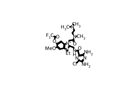 CCn1c(CNC(=O)c2nc(Cl)c(N)nc2N)[n+](CC(=O)N(C)CCN(C)C)c2cc(OC(=O)C(F)(F)F)c(OC)cc21